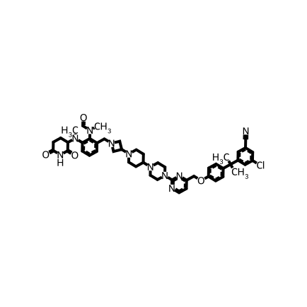 CN(C=O)c1c(CN2CC(N3CCC(N4CCN(c5nccc(COc6ccc(C(C)(C)c7cc(Cl)cc(C#N)c7)cc6)n5)CC4)CC3)C2)cccc1N(C)C1CCC(=O)NC1=O